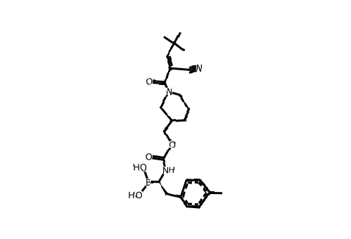 Cc1ccc(C[C@H](NC(=O)OCC2CCCN(C(=O)C(C#N)=CC(C)(C)C)C2)B(O)O)cc1